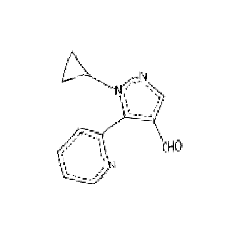 O=Cc1cnn(C2CC2)c1-c1ccccn1